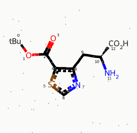 CC(C)(C)OC(=O)c1scnc1C[C@H](N)C(=O)O